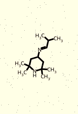 CC(C)C=NC1CC(C)(C)NC(C)(C)C1